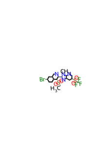 CCS(=O)(=O)c1c(-c2nc3cc(S(=O)(=O)C(F)(F)F)cnc3n2C)ncc2cc(Br)ccc12